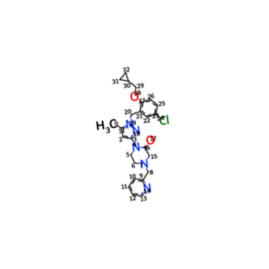 Cc1cc(N2CCN(Cc3ccccn3)CC2=O)nn1Cc1cc(Cl)ccc1OCC1CC1